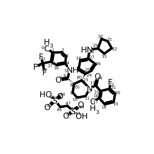 Cc1ccc(NC(=O)[C@H]2CCCN(C(=O)c3c(C)cccc3F)[C@H]2c2ccc(NC3CCCC3)cc2)cc1C(F)(F)F.O=S(=O)(O)CCS(=O)(=O)O